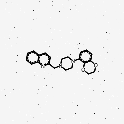 c1cc2c(c(N3CCN(Cc4ccc5ccccc5n4)CC3)c1)OCCO2